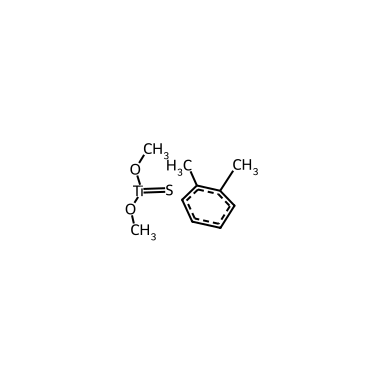 C[O][Ti](=[S])[O]C.Cc1ccccc1C